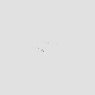 NC(=O)C12CC3CC(C1)C(NC(=O)C1(N(c4cccc5cccnc45)[SH](=O)=O)CCCC1)C(C3)C2